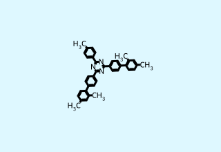 Cc1ccc(-c2nc(-c3ccc(-c4ccc(C)cc4C)cc3)nc(-c3ccc(-c4ccc(C)cc4C)cc3)n2)cc1